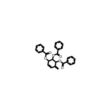 C=C1C=CC(OC(=O)c2ccccc2)C(OC(=O)c2ccccc2)C1OC(=O)c1ccccc1